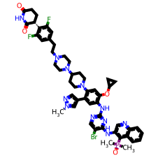 Cn1cc(-c2cc(Nc3ncc(Br)c(Nc4cnc5ccccc5c4P(C)(C)=O)n3)c(OC3CC3)cc2N2CCC(N3CCN(CCc4cc(F)c([C@H]5CCC(=O)NC5=O)c(F)c4)CC3)CC2)cn1